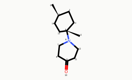 C[C@H]1CC[C@](C)(N2CCC(=O)CC2)CC1